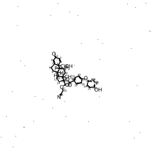 C[C@]12C=CC(=O)C=C1CC[C@H]1[C@@H]3CC[C@@](OC(=O)c4ccc(Oc5ccc(O)nn5)cc4)(C(=O)OCC#N)[C@@]3(C)C[C@H](O)C12F